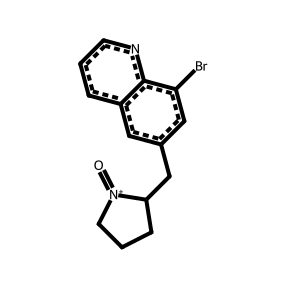 O=[N+]1CCCC1Cc1cc(Br)c2ncccc2c1